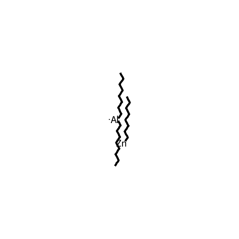 CCCCCCC[CH2][Al][CH2]CCCCCCC.CCCCCCC[CH2][Zn]